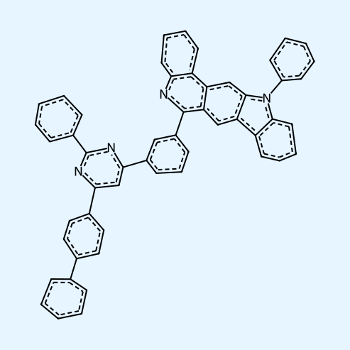 c1ccc(-c2ccc(-c3cc(-c4cccc(-c5nc6ccccc6c6cc7c(cc56)c5ccccc5n7-c5ccccc5)c4)nc(-c4ccccc4)n3)cc2)cc1